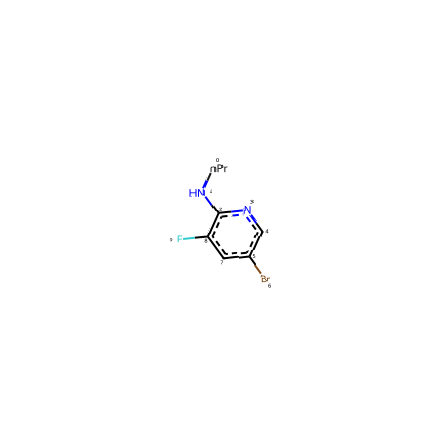 CCCNc1ncc(Br)cc1F